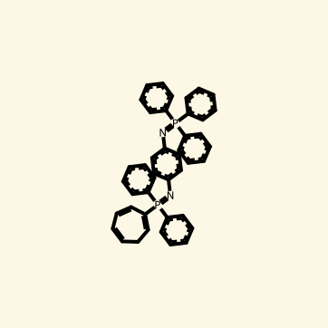 C1=CCC=C(P(=Nc2ccc(N=P(c3ccccc3)(c3ccccc3)c3ccccc3)cc2)(c2ccccc2)c2ccccc2)C=C1